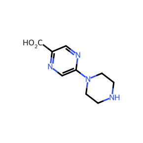 O=C(O)c1cnc(N2CCNCC2)cn1